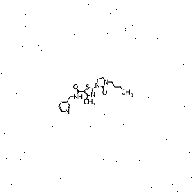 CCCCN1CCN(c2nc(C)c(C(=O)NCc3cccnc3)s2)C1=O